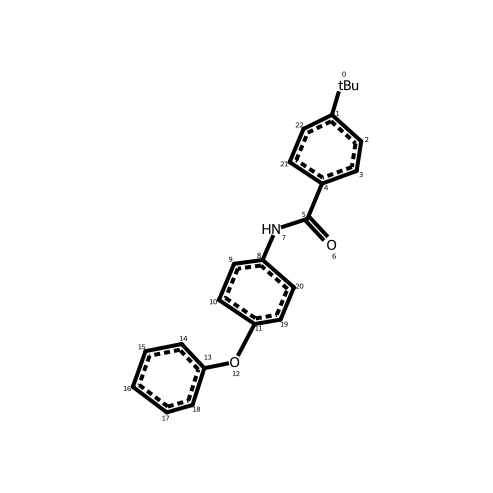 CC(C)(C)c1ccc(C(=O)Nc2ccc(Oc3ccccc3)cc2)cc1